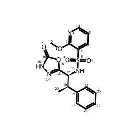 COc1ncccc1S(=O)(=O)N[C@H](c1n[nH]c(=O)o1)[C@H](C)c1ccccc1